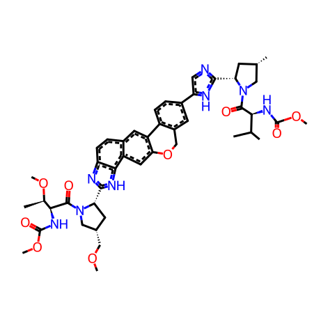 COC[C@H]1C[C@@H](c2nc3ccc4cc5c(cc4c3[nH]2)OCc2cc(-c3cnc([C@@H]4C[C@H](C)CN4C(=O)[C@@H](NC(=O)OC)C(C)C)[nH]3)ccc2-5)N(C(=O)[C@@H](NC(=O)OC)[C@@H](C)OC)C1